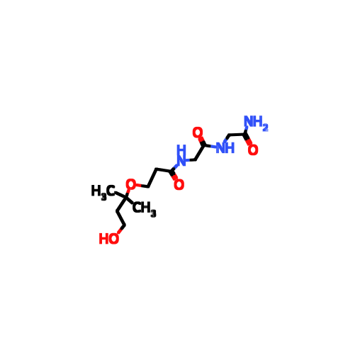 CC(C)(CCO)OCCC(=O)NCC(=O)NCC(N)=O